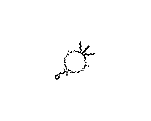 C=C=C=C=C1C(CCCCC)CCOC(=O)CCCCCCCC(NC(=O)CCN2CCCC2)CCCCCCCC(=O)OCCC1CCCCC